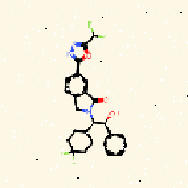 O=C1c2cc(-c3nnc(C(F)F)o3)ccc2CN1[C@H](C1CCC(F)(F)CC1)[C@@H](O)c1ccccc1